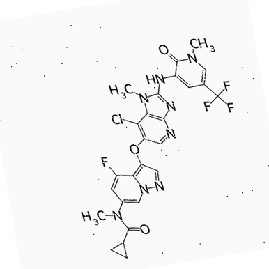 CN(C(=O)C1CC1)c1cc(F)c2c(Oc3cnc4nc(Nc5cc(C(F)(F)F)cn(C)c5=O)n(C)c4c3Cl)cnn2c1